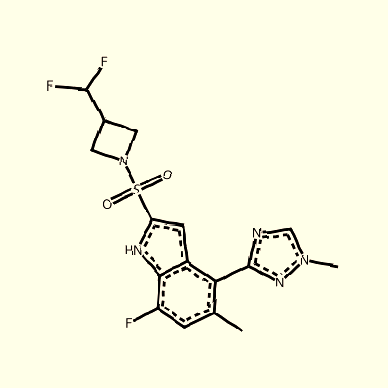 Cc1cc(F)c2[nH]c(S(=O)(=O)N3CC(C(F)F)C3)cc2c1-c1ncn(C)n1